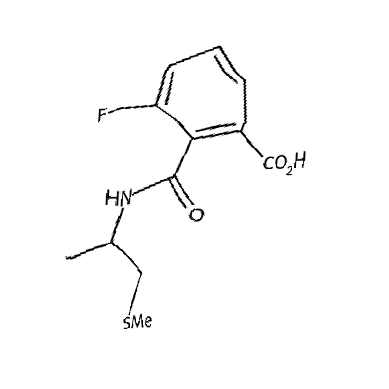 CSCC(C)NC(=O)c1c(F)cccc1C(=O)O